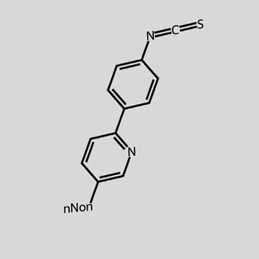 CCCCCCCCCc1ccc(-c2ccc(N=C=S)cc2)nc1